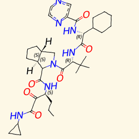 CCC[C@H](NC(=O)C1[C@H]2CCC[C@@H]2CN1C(=O)[C@H](NC(=O)[C@H](NC(=O)c1cnccn1)C1CCCCC1)C(C)(C)C)C(=O)C(=O)NC1CC1